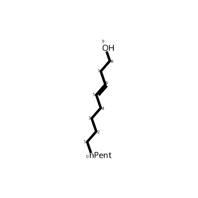 CCCCCCCCCC=CCCO